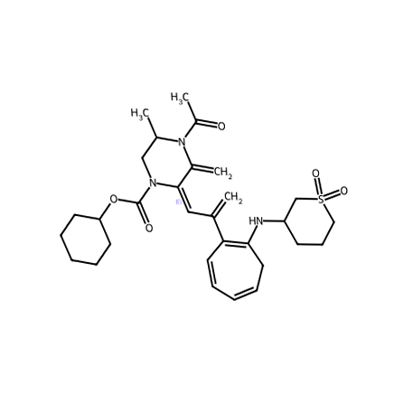 C=C(/C=C1\C(=C)N(C(C)=O)C(C)CN1C(=O)OC1CCCCC1)C1=C(NC2CCCS(=O)(=O)C2)CC=CC=C1